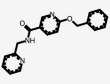 O=C(NCc1ccccn1)c1ccc(OCc2ccccc2)nc1